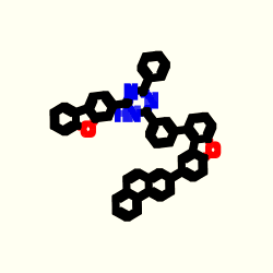 c1ccc(C2=NC(c3cccc(-c4cccc5oc6ccc(-c7ccc8c(ccc9ccccc98)c7)cc6c45)c3)NC(c3ccc4c(c3)oc3ccccc34)=N2)cc1